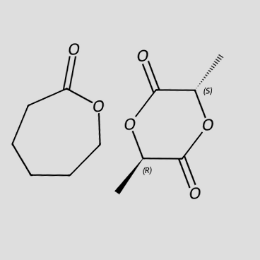 C[C@@H]1OC(=O)[C@@H](C)OC1=O.O=C1CCCCCO1